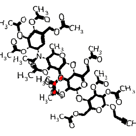 C#CCO[C@@H]1OC(COC(C)=O)[C@@H](O[C@H]2OC(COC(C)=O)[C@@H](O[C@H]3OC(C)[C@@H](N(C(C)=O)[C@H]4C=C(COC(C)=O)[C@@H](OC(C)=O)[C@H](OC(C)=O)[C@H]4OC(C)=O)C(OC(C)=O)C3OC(C)=O)C(OC(C)=O)C2OC(C)=O)C(OC(C)=O)C1OC(C)=O